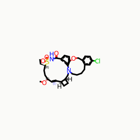 CC[C@@H]1CC[C@H](OC)/C=C/[C@@H]2CC[C@H]2CN2CCCCc3cc(Cl)ccc3COc3ccc(cc32)C(=O)NS1(=O)=O